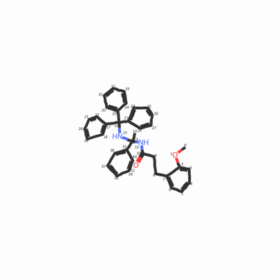 COc1ccccc1CCC(=O)NC(C)(NC(c1ccccc1)(c1ccccc1)c1ccccc1)c1ccccc1